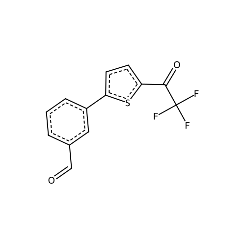 O=Cc1cccc(-c2ccc(C(=O)C(F)(F)F)s2)c1